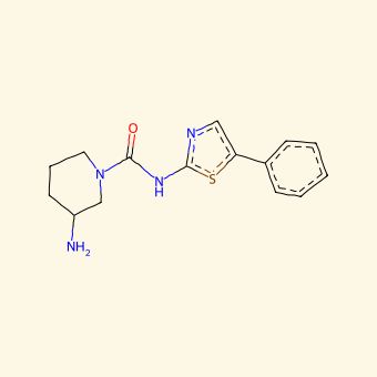 NC1CCCN(C(=O)Nc2ncc(-c3ccccc3)s2)C1